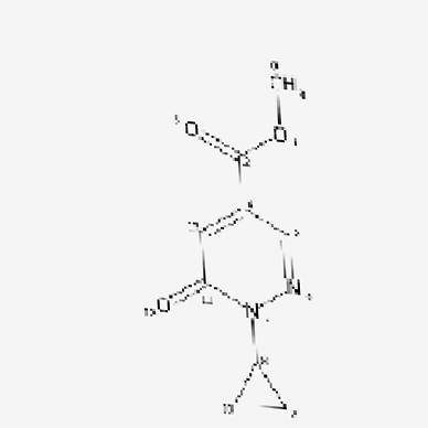 COC(=O)c1cnn(C2CC2)c(=O)c1